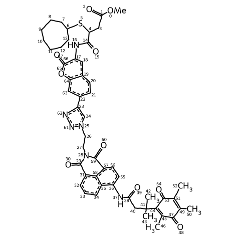 COC(=O)CC(SC1CCCCCCC1)C(=O)Nc1cc2ccc(-c3cn(CCN4C(=O)c5cccc6c(NC(=O)CC(C)(C)C7=C(C)C(=O)C(C)=C(C)C7=O)ccc(c56)C4=O)nn3)cc2oc1=O